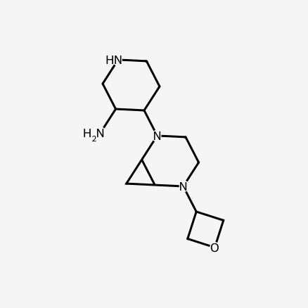 NC1CNCCC1N1CCN(C2COC2)C2CC21